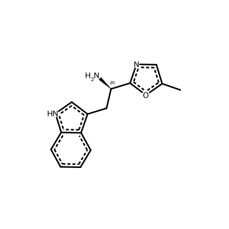 Cc1cnc([C@H](N)Cc2c[nH]c3ccccc23)o1